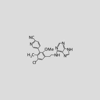 COc1c(CCNc2ncnc3[nH]cnc23)cc(Cl)c(C)c1-c1ccc(C#N)nc1